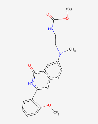 CN(CCNC(=O)OC(C)(C)C)c1ccc2cc(-c3ccccc3OC(F)(F)F)[nH]c(=O)c2c1